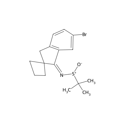 CC(C)(C)[S+]([O-])/N=C1\c2cc(Br)ccc2CC12CCC2